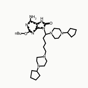 CCCCOc1nc(N)c2[nH]c(=O)n(C(CCCCN3CCN(C4CCCC4)CC3)N3CCN(C4CCCC4)CC3)c2n1